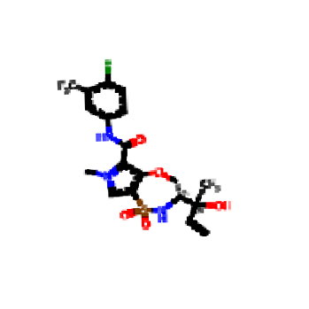 C=C[C@@](O)([C@H]1COc2c(cn(C)c2C(=O)Nc2ccc(F)c(C(F)(F)F)c2)S(=O)(=O)N1)C(F)(F)F